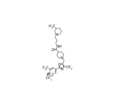 C\C=C(/C=C(\C=C\C(F)(F)F)C(F)(F)F)c1nc(C(F)(F)F)c(CN2CCC(C(=O)NCCCN3CCCC(C)C3)CC2)o1